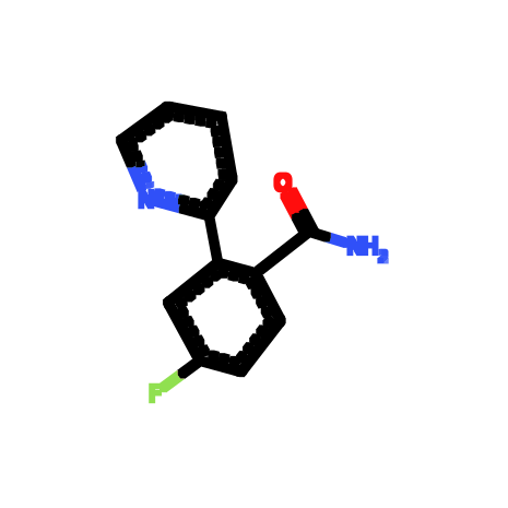 NC(=O)c1ccc(F)cc1-c1ccccn1